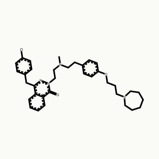 CN(CCc1ccc(OCCCN2CCCCCC2)cc1)CCn1nc(Cc2ccc(Cl)cc2)c2ccccc2c1=O